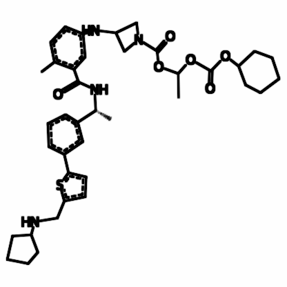 Cc1ccc(NC2CN(C(=O)OC(C)OC(=O)OC3CCCCC3)C2)cc1C(=O)N[C@H](C)c1cccc(-c2ccc(CNC3CCCC3)s2)c1